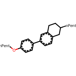 CCCCCOc1ccc(-c2ccc3c(c2)CCC(CCCCC)C3)cc1